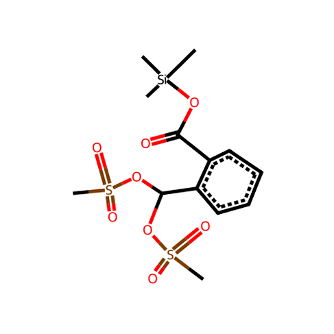 C[Si](C)(C)OC(=O)c1ccccc1C(OS(C)(=O)=O)OS(C)(=O)=O